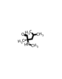 CN[C@](C)(C=O)CC(C)C